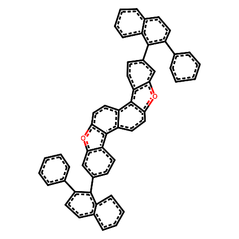 c1ccc(-c2ccc3ccccc3c2-c2ccc3c(c2)oc2ccc4c(ccc5oc6cc(-c7c(-c8ccccc8)ccc8ccccc78)ccc6c54)c23)cc1